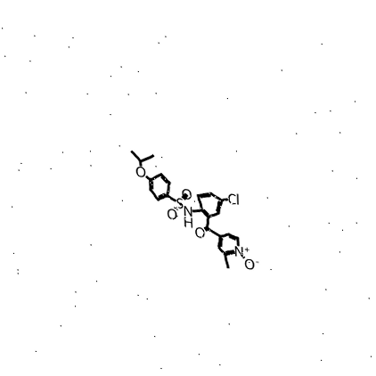 Cc1cc(C(=O)c2cc(Cl)ccc2NS(=O)(=O)c2ccc(OC(C)C)cc2)cc[n+]1[O-]